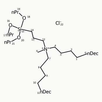 CCCCCCCCCCCCCC[N+](C)(CCCCCCCCCCCCCC)CCC[Si](OCCC)(OCCC)OCCC.[Cl-]